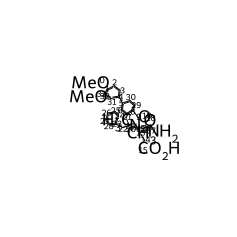 COc1ccc(-c2ccc(C(=O)N([C@@H](CCC(=O)O)C(N)=O)C(C)(C)Cc3ccccc3)cc2)cc1OC